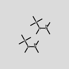 CN([SiH](C)C)[Si](C)(C)C.CN([SiH](C)C)[Si](C)(C)C